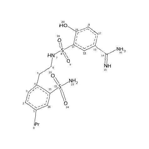 CC(C)c1ccc(CCNS(=O)(=O)c2cc(C(=N)N)ccc2O)c(S(N)(=O)=O)c1